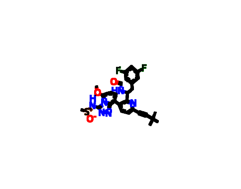 COc1ccc(-c2ccc(C#CC(C)(C)C)nc2C(Cc2cc(F)cc(F)c2)NC=O)c2nnc(N[S+](C)[O-])n12